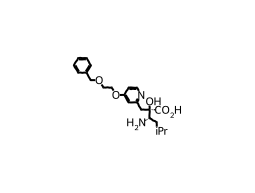 CC(C)C[C@H](N)[C@](O)(Cc1cc(OCCOCc2ccccc2)ccn1)C(=O)O